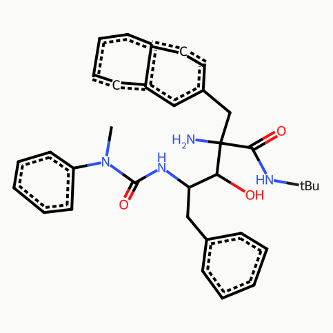 CN(C(=O)NC(Cc1ccccc1)C(O)C(N)(Cc1ccc2ccccc2c1)C(=O)NC(C)(C)C)c1ccccc1